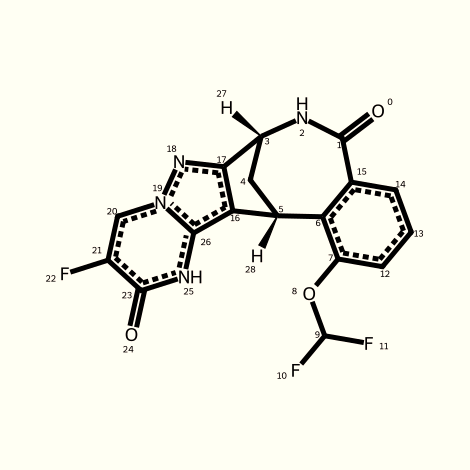 O=C1N[C@@H]2C[C@H](c3c(OC(F)F)cccc31)c1c2nn2cc(F)c(=O)[nH]c12